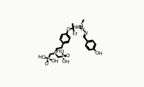 CCC(C)(Oc1ccc(CCN(CP(=O)(O)O)CP(=O)(O)O)cc1)[PH]1=S(C)N1N=Cc1ccc(O)cc1